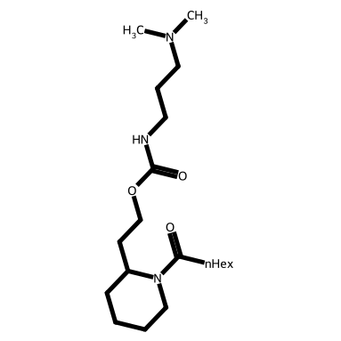 CCCCCCC(=O)N1CCCCC1CCOC(=O)NCCCN(C)C